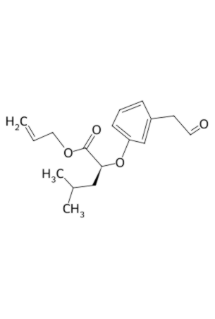 C=CCOC(=O)[C@H](CC(C)C)Oc1cccc(CC=O)c1